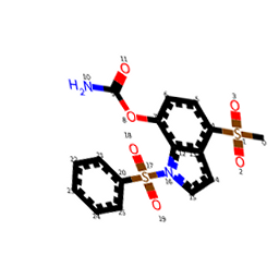 CS(=O)(=O)c1ccc(OC(N)=O)c2c1ccn2S(=O)(=O)c1ccccc1